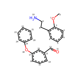 COc1ccccc1CCN.O=Cc1cccc(Oc2ccccc2)c1